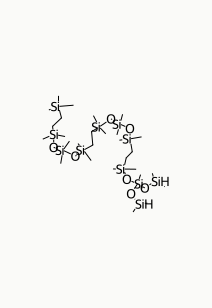 C[SiH](C)O[Si](C)(O[SiH](C)C)O[Si](C)(C)CC[Si](C)(C)O[Si](C)(C)O[Si](C)(C)CC[Si](C)(C)O[Si](C)(C)O[Si](C)(C)CC[Si](C)(C)C